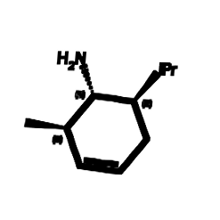 CC(C)[C@H]1CC=C[C@@H](C)[C@@H]1N